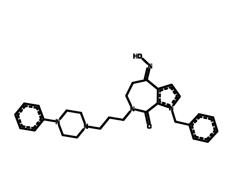 O=C1c2c(ccn2Cc2ccccc2)C(=NO)CCN1CCCN1CCN(c2ccccc2)CC1